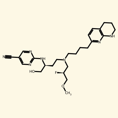 COC[C@@H](F)CN(CCCCc1ccc2c(n1)NCCC2)CC[C@@H](CO)Nc1ncc(C#N)cn1